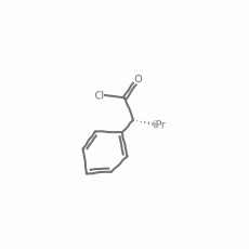 CC(C)[C@@H](C(=O)Cl)c1ccccc1